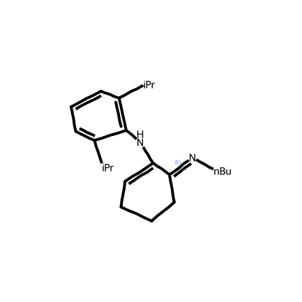 CCCC/N=C1\CCCC=C1Nc1c(C(C)C)cccc1C(C)C